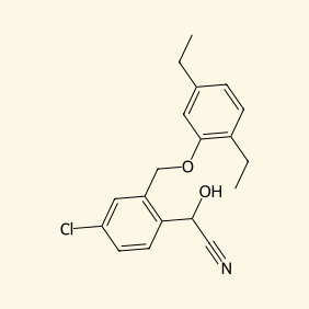 CCc1ccc(CC)c(OCc2cc(Cl)ccc2C(O)C#N)c1